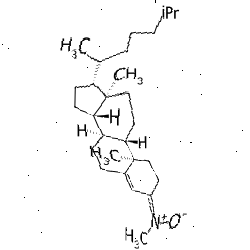 CC(C)CCCC(C)[C@H]1CC[C@H]2[C@@H]3CCC4=CC(=[N+](C)[O-])CC[C@]4(C)[C@H]3CC[C@]12C